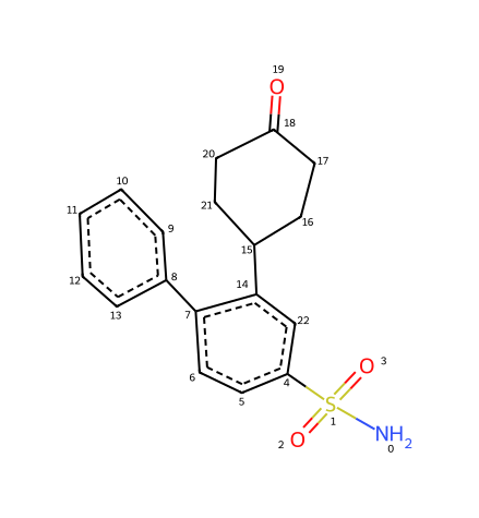 NS(=O)(=O)c1ccc(-c2ccccc2)c(C2CCC(=O)CC2)c1